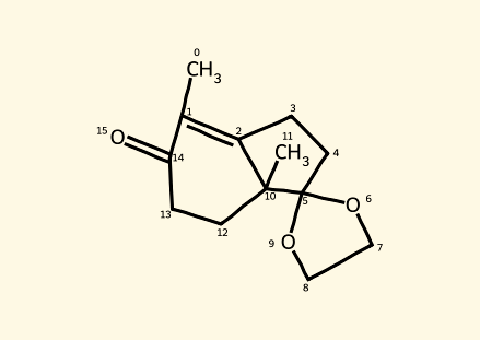 CC1=C2CCC3(OCCO3)C2(C)CCC1=O